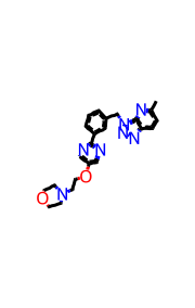 Cc1ccc2nnn(Cc3cccc(-c4ncc(OCCN5CCOCC5)cn4)c3)c2n1